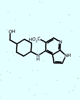 O=C(O)c1cnc2[nH]ccc2c1NC1CCC(CO)CC1